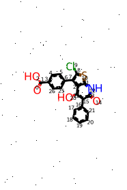 O=C(O)c1ccc(-c2c(Cl)sc3[nH]c(=O)c(-c4ccccc4)c(O)c23)cc1